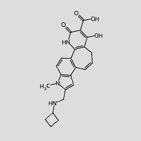 Cn1c(CNC2CCC2)cc2c3c(ccc21)-c1[nH]c(=O)c(C(=O)O)c(O)c1CC=C3